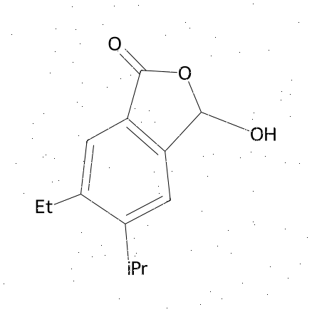 CCc1cc2c(cc1C(C)C)C(O)OC2=O